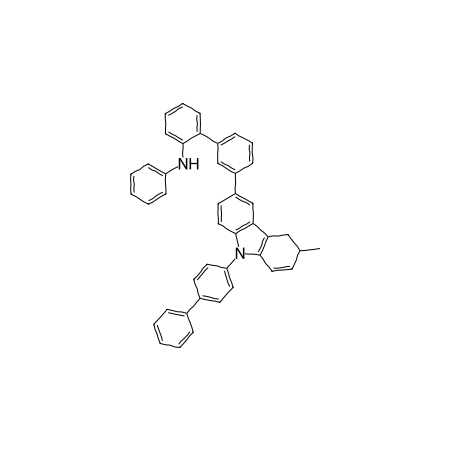 CC1C=Cc2c(c3cc(-c4cccc(-c5ccccc5Nc5ccccc5)c4)ccc3n2-c2ccc(-c3ccccc3)cc2)C1